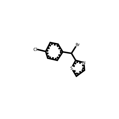 Clc1ccc(C(Br)c2nccs2)cc1